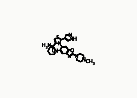 CN1CCN(c2nc3cc(N4CCCCC4)c(N4C(C(N)=O)=CSC4c4cn[nH]c4)cc3o2)CC1